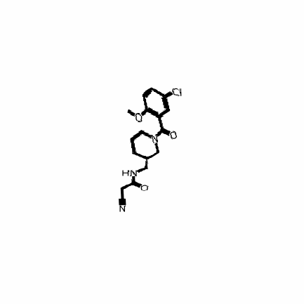 COc1ccc(Cl)cc1C(=O)N1CCC[C@H](CNC(=O)CC#N)C1